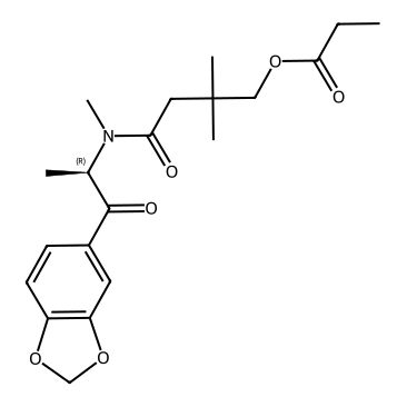 CCC(=O)OCC(C)(C)CC(=O)N(C)[C@H](C)C(=O)c1ccc2c(c1)OCO2